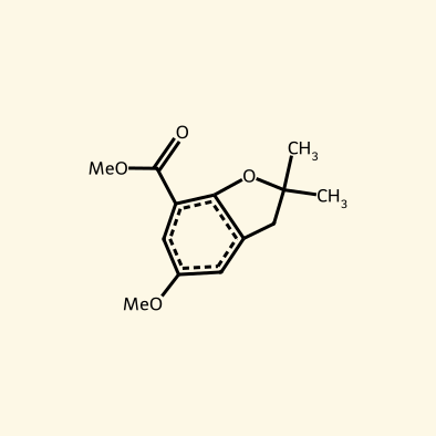 COC(=O)c1cc(OC)cc2c1OC(C)(C)C2